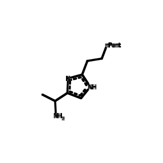 CCCCCCCc1nc(C(C)N)c[nH]1